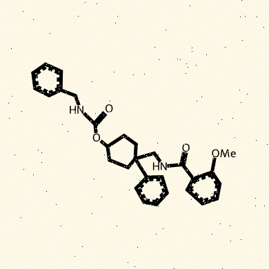 COc1ccccc1C(=O)NCC1(c2ccccc2)CCC(OC(=O)NCc2ccccc2)CC1